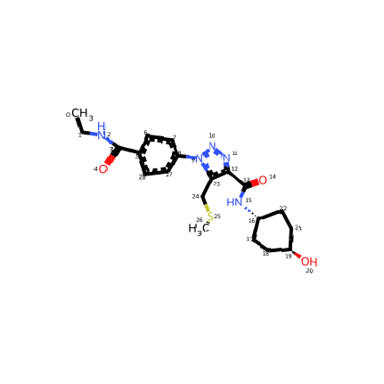 CCNC(=O)c1ccc(-n2nnc(C(=O)N[C@H]3CC[C@H](O)CC3)c2CSC)cc1